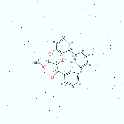 CCCCOC(=O)C(Br)C(=O)c1ccccc1.c1ccc(-c2ccccc2)cc1